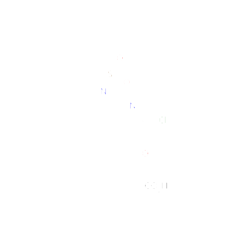 O=C(O)COc1ccc(N2CCCS2(=O)=O)nc1Cl